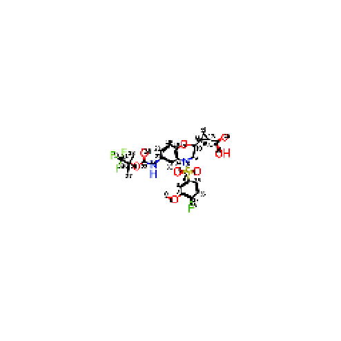 COc1cc(S(=O)(=O)N2CC([C@H]3C[C@H]3C(=O)O)Oc3ccc(NC(=O)OC(C)(C)C(F)(F)F)cc32)ccc1F